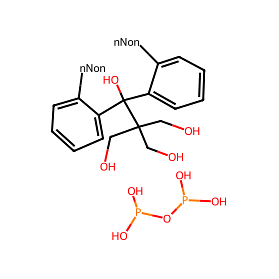 CCCCCCCCCc1ccccc1C(O)(c1ccccc1CCCCCCCCC)C(CO)(CO)CO.OP(O)OP(O)O